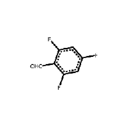 O=[C]c1c(F)cc(F)cc1F